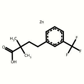 CC(C)(CCc1cccc(C(F)(F)F)c1)C(=O)O.[Zn]